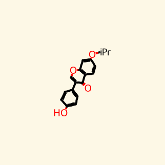 CC(C)Oc1ccc2c(=O)c(-c3ccc(O)cc3)coc2c1